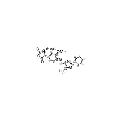 CCCCCCCN1C(=O)OC(=O)C1c1ccc(OCc2nc(-c3ccccc3)oc2C)c(OC)c1